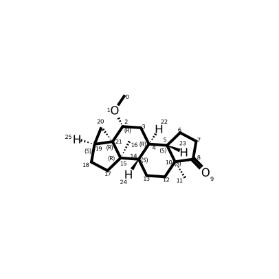 CO[C@@H]1C[C@H]2[C@@H]3CCC(=O)[C@@]3(C)CC[C@@H]2[C@@]2(C)CC[C@H]3C[C@]312